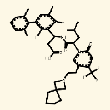 Cc1cc(-c2c(C)cccc2C)c(F)c(C(CC(=O)O)NC(=O)C(CC(C)C)n2cc(CCN3CC4(CCCC4)C3)c(C(F)(F)F)cc2=O)c1F